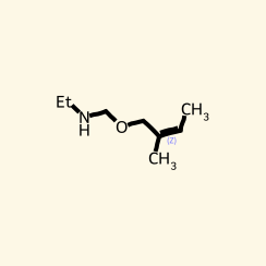 C/C=C(/C)COCNCC